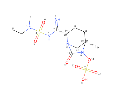 CCN(C)S(=O)(=O)NC(=N)[C@@H]1CC[C@@H]2CN1C(=O)N2OS(=O)(=O)O